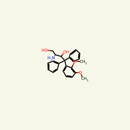 COc1cccc(C(c2ccccc2)(c2ccccc2)C(O)[C@H](N)CO)c1OC